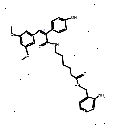 COc1cc(/C=C(\C(=O)NCCCCCC(=O)NCc2ccccc2N)c2ccc(O)cc2)cc(OC)c1